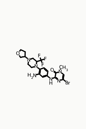 Cn1cc(Br)nc(Nc2ccc(N3CCN(C4CCOC4)CC3C(F)(F)F)c(N)c2)c1=O